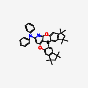 CC1(C)CC(C)(C)c2cc3c(cc21)Oc1cc(N(c2ccccc2)c2ccccc2)nc2c1B3c1cc3c(cc1O2)C(C)(C)CC3(C)C